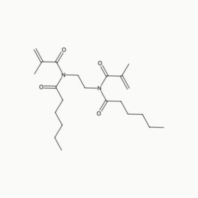 C=C(C)C(=O)N(CCN(C(=O)CCCCC)C(=O)C(=C)C)C(=O)CCCCC